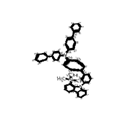 C[Si](C)(C)c1cccc2c3ccccc3n(-c3cccc(-c4ccc(N(c5ccc(-c6ccccc6)cc5)c5ccc(-c6ccccc6)cc5)cc4)c3)c12